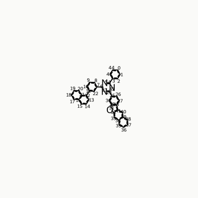 c1ccc(-c2nc(-c3cccc(-c4cccc5ccccc45)c3)nc(-c3ccc4c(c3)oc3cc5ccccc5cc34)n2)cc1